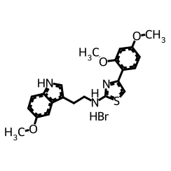 Br.COc1ccc(-c2csc(NCCc3c[nH]c4ccc(OC)cc34)n2)c(OC)c1